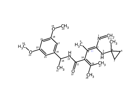 C=N/C(NC1(C)CC1)=C(\C)C(C(=O)NC(C)c1cc(OC)cc(OC)c1)=C(C)C